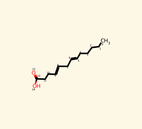 CCCCCC=CCC=CCCC(=O)O